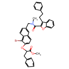 COC(=O)C(Cc1ccccc1)Oc1ccc2cc(CN(C)C(=O)c3oc4ccccc4c3CCc3ccccc3)ccc2c1Br